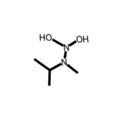 CC(C)N(C)N(O)O